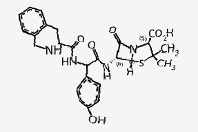 CC1(C)S[C@@H]2[C@H](NC(=O)C(NC(=O)C3Cc4ccccc4CN3)c3ccc(O)cc3)C(=O)N2[C@H]1C(=O)O